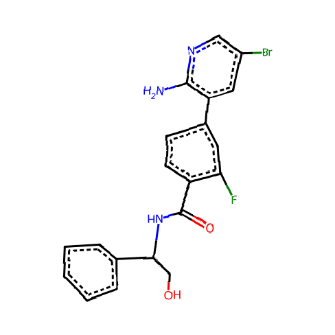 Nc1ncc(Br)cc1-c1ccc(C(=O)NC(CO)c2ccccc2)c(F)c1